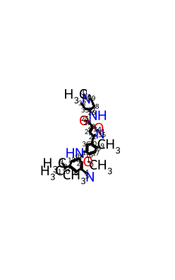 COc1c(C#N)cc(C(C)(C)C)cc1Nc1ccc(C)c(-c2cc(C(=O)NC3CCN(C)CC3)on2)c1